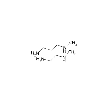 CNCCCN.CNCCN